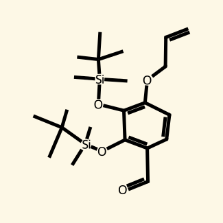 C=CCOc1ccc(C=O)c(O[Si](C)(C)C(C)(C)C)c1O[Si](C)(C)C(C)(C)C